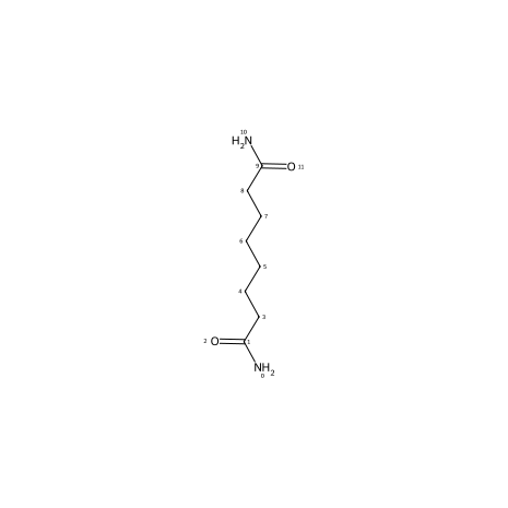 NC(=O)CCCCCCC(N)=O